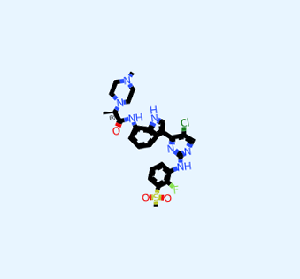 C[C@H](C(=O)Nc1cccc2c(-c3nc(Nc4cccc(S(C)(=O)=O)c4F)ncc3Cl)c[nH]c12)N1CCN(C)CC1